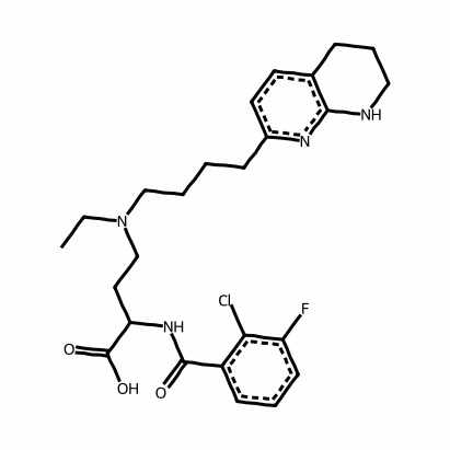 CCN(CCCCc1ccc2c(n1)NCCC2)CCC(NC(=O)c1cccc(F)c1Cl)C(=O)O